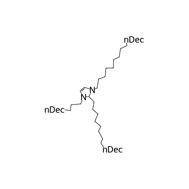 CCCCCCCCCCCCCCCCCCCN1C=CN(CCCCCCCCCCCCC)C1CCCCCCCCCCCCCCCCCC